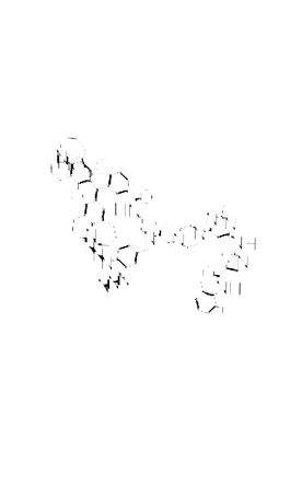 Cc1nc(Nc2ncc(C(=O)Nc3c(C)cccc3Cl)s2)cc(N2CCN(CC(=O)N(CCNC(=O)c3ccc(C(=O)O)c(C4=c5cc6c7c(c5Oc5c4cc4c8c5CCCN8CCCC4)CCC[N+]=7CCCC6)c3)Cc3ccc(N=[N+]=[N-])c(N=[N+]=[N-])c3)CC2)n1